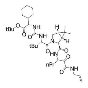 C=CCNC(=O)C(=O)C(CCC)NC(=O)[C@@H]1[C@@H]2[C@H](CN1C(=O)[C@@H](NC(=O)N[C@H](C(=O)OC(C)(C)C)C1CCCCC1)C(C)(C)C)C2(C)C